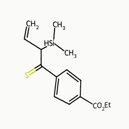 C=CC(C(=S)c1ccc(C(=O)OCC)cc1)[SiH](C)C